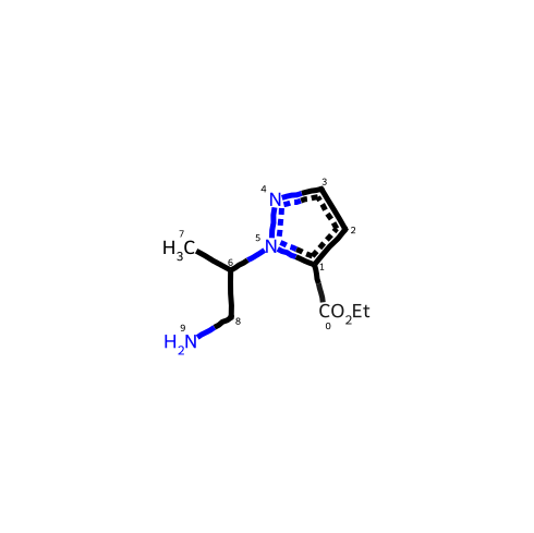 CCOC(=O)c1ccnn1C(C)CN